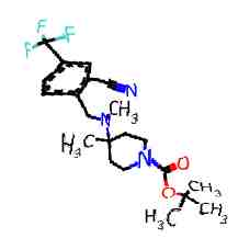 CN(Cc1ccc(C(F)(F)F)cc1C#N)C1(C)CCN(C(=O)OC(C)(C)C)CC1